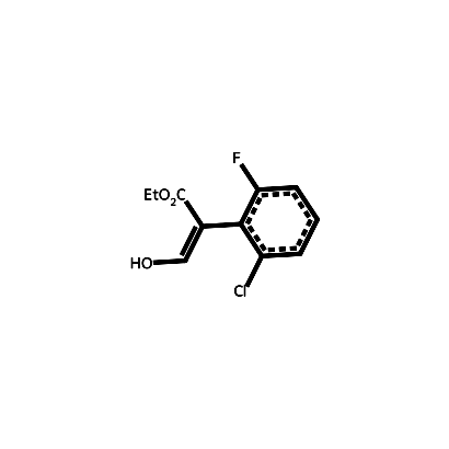 CCOC(=O)/C(=C\O)c1c(F)cccc1Cl